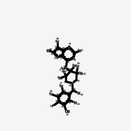 [2H]c1nc(N([2H])C2([2H])C([2H])([2H])CN(C([2H])c3c([2H])c([2H])c(F)c(C#N)c3[2H])CC2([2H])[2H])c2sc(Cl)c([2H])c2n1